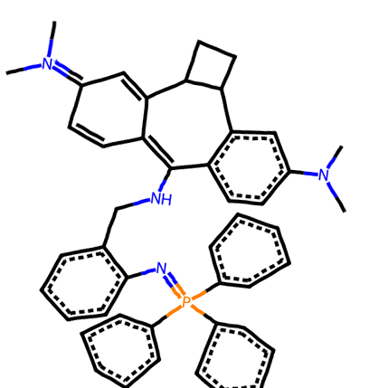 CN(C)c1ccc2c(c1)C1CCC1C1=CC(=[N+](C)C)C=CC1=C2NCc1ccccc1N=P(c1ccccc1)(c1ccccc1)c1ccccc1